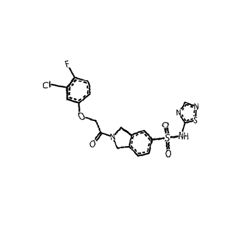 O=C(COc1ccc(F)c(Cl)c1)N1Cc2ccc(S(=O)(=O)Nc3ncns3)cc2C1